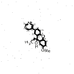 C=CC1(O)c2cc(OC)ccc2Oc2ccc(-c3cncnc3)cc21